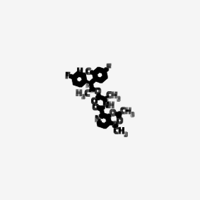 COc1ccnc(C(=O)N[C@@H](C)C(=O)O[C@@H](C)[C@@H](c2ccc(F)cc2)c2ccc(F)cc2C)c1OC(C)=O